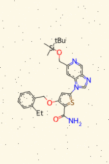 CCc1ccccc1COc1cc(-n2cnc3cnc(CO[Si](C)(C)C(C)(C)C)cc32)sc1C(N)=O